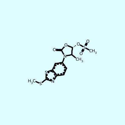 CSc1nc2ccc(N3C(=O)O[C@H](OS(C)(=O)=O)C3C)cc2s1